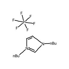 CCCCn1cc[n+](CCCC)c1.F[P-](F)(F)(F)(F)F